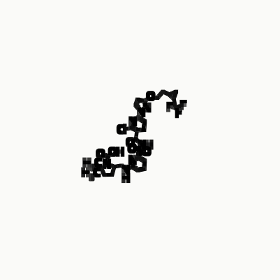 CC1(C)CCC(CNc2cccc(S(=O)(=O)NC(=O)c3ccc(-n4ccc(OCCC5CC5C(F)(F)F)n4)nc3Cl)n2)N1C(=O)O